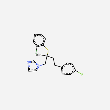 CCCC(CCc1ccc(F)cc1)(Cn1ccnc1)Sc1ccccc1Cl